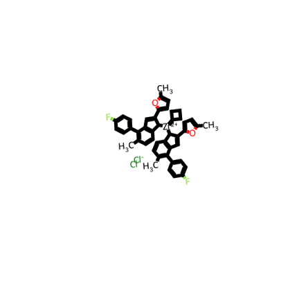 Cc1ccc(C2=Cc3c(ccc(C)c3-c3ccc(F)cc3)[CH]2[Zr+2](=[C]2CCC2)[CH]2C(c3ccc(C)o3)=Cc3c2ccc(C)c3-c2ccc(F)cc2)o1.[Cl-].[Cl-]